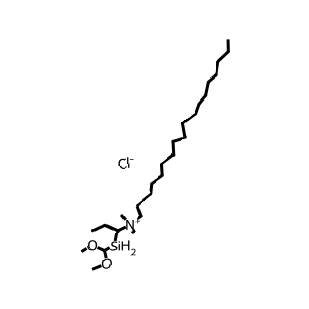 CCCCCCCCCCCCCCCCCC[N+](C)(C)C(CC)[SiH2]C(OC)OC.[Cl-]